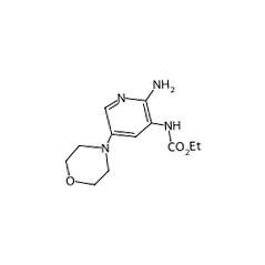 CCOC(=O)Nc1cc(N2CCOCC2)cnc1N